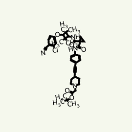 CC(C)(C)OC(=O)CN1CCC(C#Cc2ccc(NC(=O)C3(C(=O)NC4C(C)(C)C(Oc5ccc(C#N)c(Cl)c5)C4(C)C)CC3)cc2)CC1